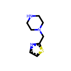 c1csc(CN2CCNCC2)n1